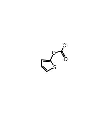 [O]C(=O)Oc1cccs1